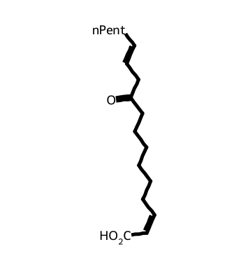 CCCCCC=CCC(=O)CCCCCC/C=C\C(=O)O